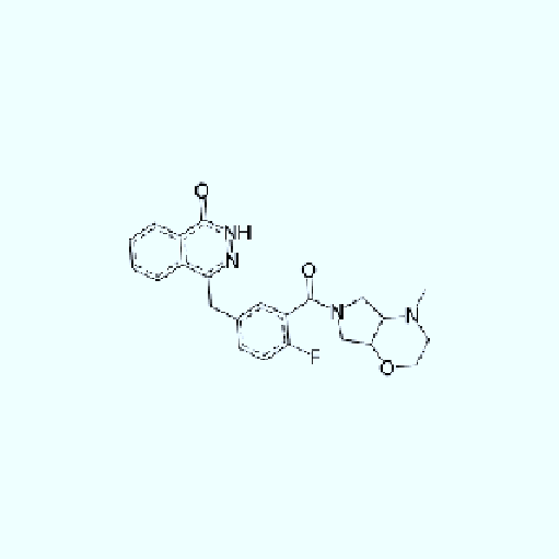 CN1CCOC2CN(C(=O)c3cc(Cc4n[nH]c(=O)c5ccccc45)ccc3F)CC21